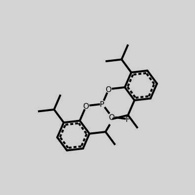 CC(C)c1cccc(C(C)C)c1OP(OF)Oc1c(C(C)C)cccc1C(C)C